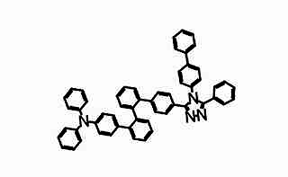 c1ccc(-c2ccc(-n3c(-c4ccccc4)nnc3-c3ccc(-c4ccccc4-c4ccccc4-c4ccc(N(c5ccccc5)c5ccccc5)cc4)cc3)cc2)cc1